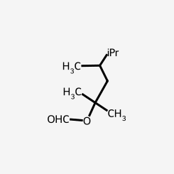 CC(C)C(C)CC(C)(C)OC=O